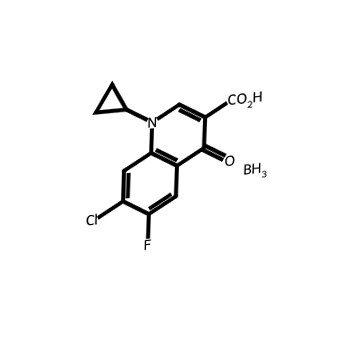 B.O=C(O)c1cn(C2CC2)c2cc(Cl)c(F)cc2c1=O